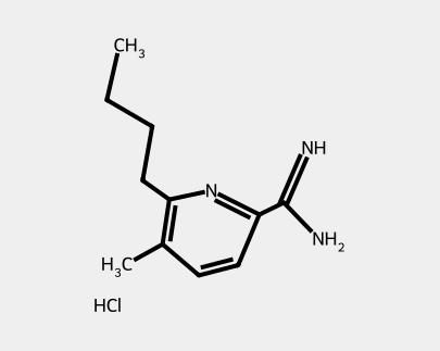 CCCCc1nc(C(=N)N)ccc1C.Cl